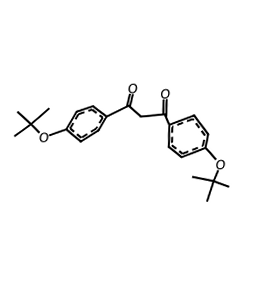 CC(C)(C)Oc1ccc(C(=O)CC(=O)c2ccc(OC(C)(C)C)cc2)cc1